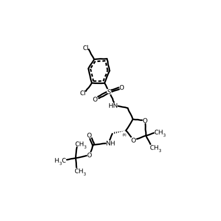 CC(C)(C)OC(=O)NC[C@H]1OC(C)(C)OC1CNS(=O)(=O)c1ccc(Cl)cc1Cl